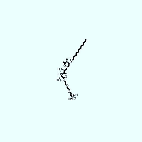 CCCCCCCCCCCCOC[C@H](CSC[C@H](N)C(=O)N[C@@H](CO)C(=O)NCCOCCOCCP(=O)(O)O)NC(C)=O